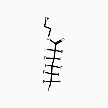 [O]CCOC(=O)C(F)(F)C(F)(F)C(F)(F)C(F)(F)C(F)(F)F